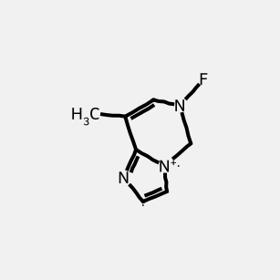 CC1=CN(F)C[N+]2C=[C]N=C12